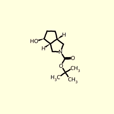 CC(C)(C)OC(=O)N1C[C@H]2CC[C@H](O)[C@H]2C1